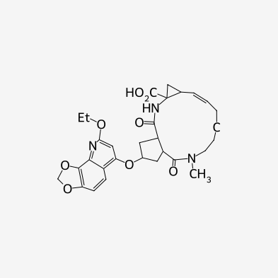 CCOc1cc(OC2CC3C(=O)NC4(C(=O)O)CC4/C=C\CCCCN(C)C(=O)C3C2)c2ccc3c(c2n1)OCO3